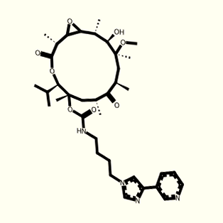 CO[C@@]1(C)C[C@@H](C)C(=O)[C@H](C)C[C@](C)(OC(=O)NCCCCn2cnc(-c3cccnc3)c2)[C@@H](C(C)C)OC(=O)[C@H](C)C2OC2[C@H](C)[C@H]1O